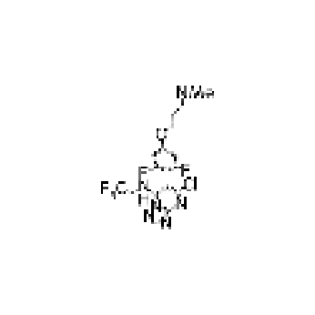 CNCCCOc1cc(F)c(-c2c(Cl)nc3ncnn3c2NCC(F)(F)F)c(F)c1